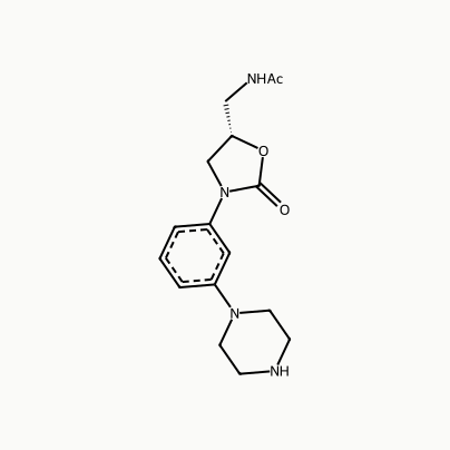 CC(=O)NC[C@H]1CN(c2cccc(N3CCNCC3)c2)C(=O)O1